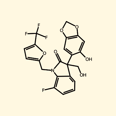 O=C1N(Cc2ccc(C(F)(F)F)o2)c2c(F)cccc2C1(CO)c1cc2c(cc1O)OCO2